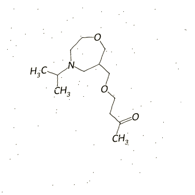 CC(=O)CCOCC1COCCN(C(C)C)C1